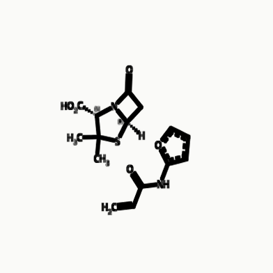 C=CC(=O)Nc1ccco1.CC1(C)S[C@@H]2CC(=O)N2[C@H]1C(=O)O